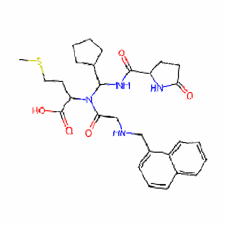 CSCCC(C(=O)O)N(C(=O)CNCc1cccc2ccccc12)C(NC(=O)C1CCC(=O)N1)C1CCCC1